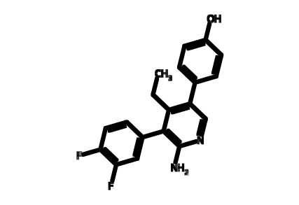 CCc1c(-c2ccc(O)cc2)cnc(N)c1-c1ccc(F)c(F)c1